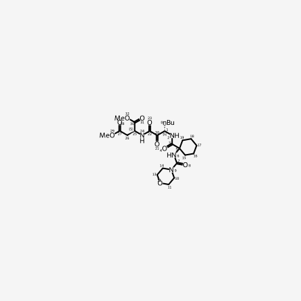 CCCC[C@H](NC(=O)C1(NC(=O)N2CCOCC2)CCCCC1)C(=O)C(=O)N[C@@H](CC(=O)OC)C(=O)OC